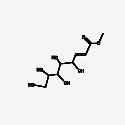 COC(=O)/C=C/C(O)C(O)C(O)C(O)CO